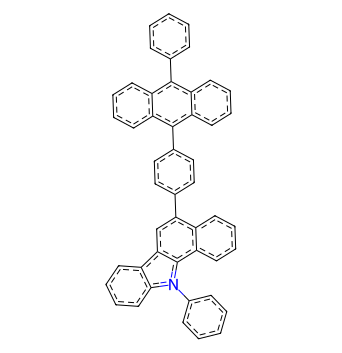 c1ccc(-c2c3ccccc3c(-c3ccc(-c4cc5c6ccccc6n(-c6ccccc6)c5c5ccccc45)cc3)c3ccccc23)cc1